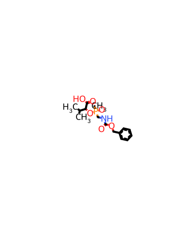 CC(C)C(OP(C)(=O)CNC(=O)OCc1ccccc1)C(=O)O